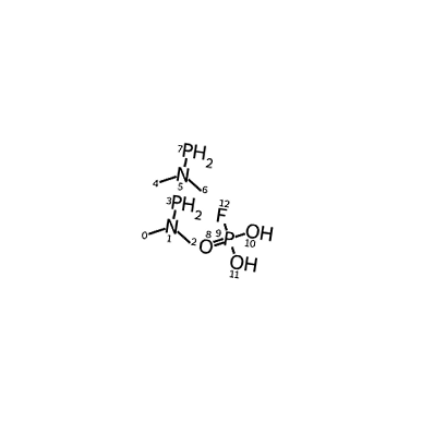 CN(C)P.CN(C)P.O=P(O)(O)F